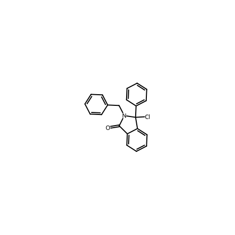 O=C1c2ccccc2C(Cl)(c2ccccc2)N1Cc1ccccc1